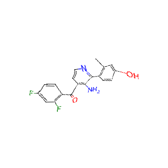 Cc1cc(O)ccc1-c1nccc(C(=O)c2ccc(F)cc2F)c1N